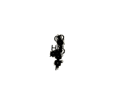 Cc1cc(F)ccc1-c1ccc2c(c1)C1(CCCC1)CN2C(=O)NCc1ccc(S(C)(=O)=O)cc1